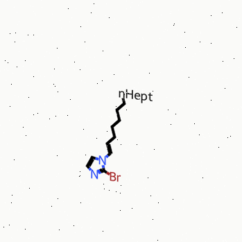 CCCCCCCCCCCCC=Cn1ccnc1Br